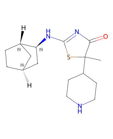 CC1(C2CCNCC2)SC(N[C@H]2C[C@H]3CC[C@H]2C3)=NC1=O